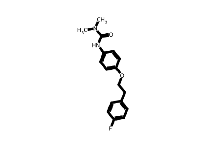 CN(C)C(=O)Nc1ccc(OCCc2ccc(F)cc2)cc1